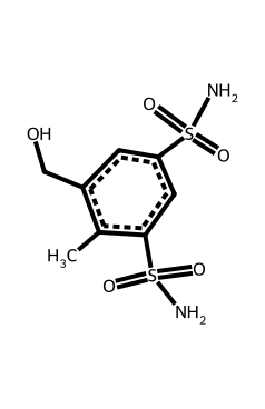 Cc1c(CO)cc(S(N)(=O)=O)cc1S(N)(=O)=O